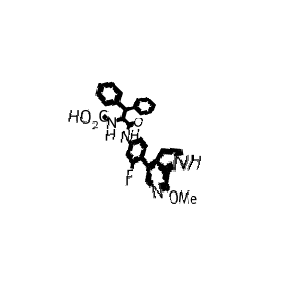 COc1ncc(-c2ccc(NC(=O)C(NC(=O)O)C(c3ccccc3)c3ccccc3)cc2F)c2cc[nH]c12